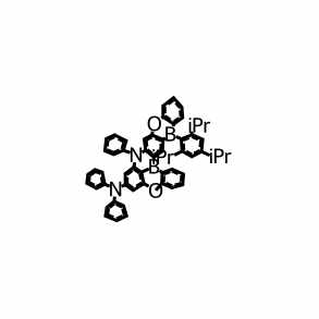 CC(C)c1cc(C(C)C)c(B2c3ccccc3Oc3cc4c(cc32)B2c3ccccc3Oc3cc(N(c5ccccc5)c5ccccc5)cc(c32)N4c2ccccc2)c(C(C)C)c1